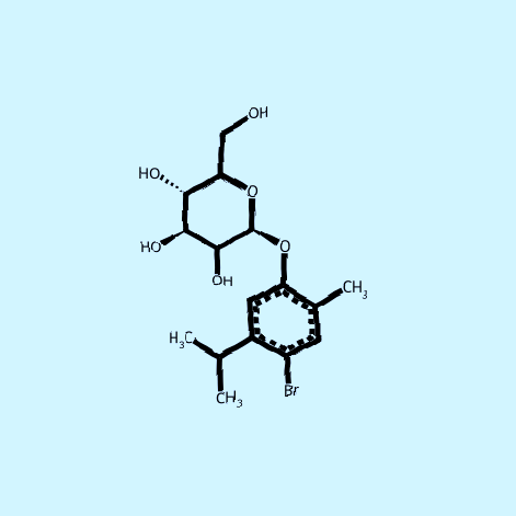 Cc1cc(Br)c(C(C)C)cc1O[C@@H]1OC(CO)[C@@H](O)[C@H](O)C1O